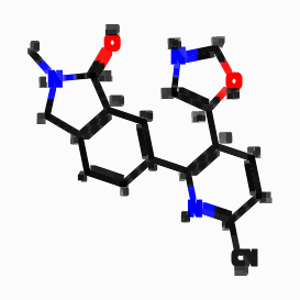 CN1Cc2ccc(-c3nc(C#N)ccc3-c3cnco3)cc2C1=O